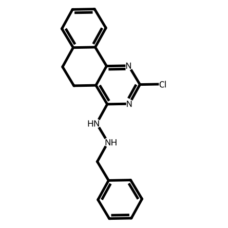 Clc1nc(NNCc2ccccc2)c2c(n1)-c1ccccc1CC2